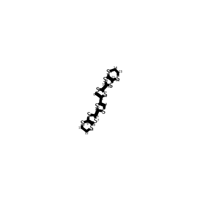 C1=C(C2=CSC(=C3SC4=C(SCCS4)S3)S2)SC(=C2SC3=C(SCCS3)S2)S1